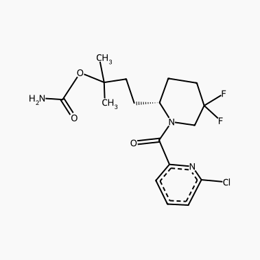 CC(C)(CC[C@@H]1CCC(F)(F)CN1C(=O)c1cccc(Cl)n1)OC(N)=O